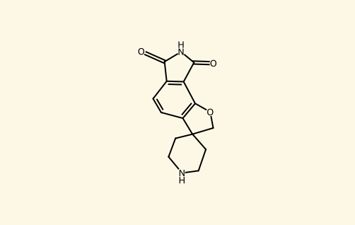 O=C1NC(=O)c2c1ccc1c2OCC12CCNCC2